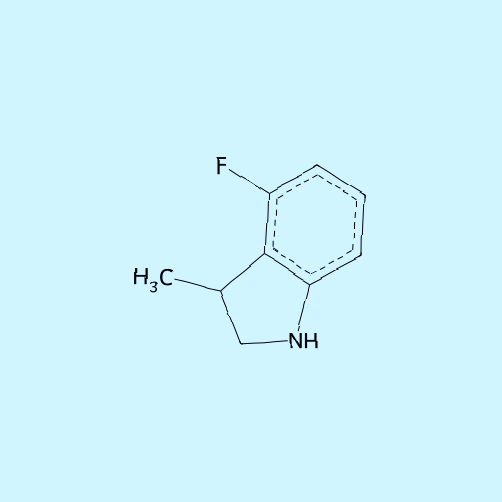 CC1CNc2cccc(F)c21